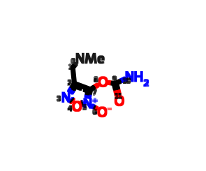 CNCc1no[n+]([O-])c1OC(N)=O